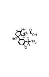 CN=C1SCC(O)(c2ccc(Cl)c(S(N)(=O)=O)c2)N1C.O=CO